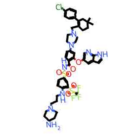 CC1(C)CCC(CN2CCN(c3ccc(C(=O)NS(=O)(=O)c4ccc(NCCCN5CCC(N)CC5)c(S(=O)(=O)C(F)(F)F)c4)c(Oc4cnc5[nH]ccc5c4)c3)CC2)=C(c2ccc(Cl)cc2)C1